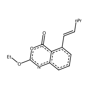 CCC/C=C/c1cccc2nc(OCC)oc(=O)c12